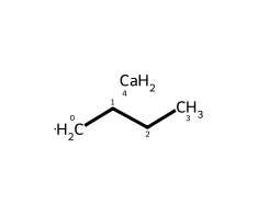 [CH2]CCC.[CaH2]